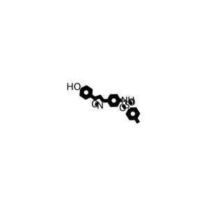 Cc1ccc(S(=O)(=O)Nc2ccc(C3=NOC(c4ccc(O)cc4)C3)cc2)cc1